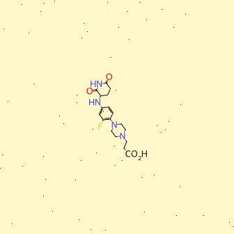 O=C(O)CCN1CCN(c2ccc(NC3CCC(=O)NC3=O)cc2F)CC1